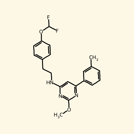 COc1nc(NCCc2ccc(OC(F)F)cc2)cc(-c2cccc(C)c2)n1